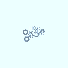 C[C@H](CCO[Si](c1ccccc1)(c1ccccc1)C(C)(C)C)[C@@H](c1ccco1)N(C)C(=O)O